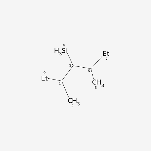 CCC(C)C([SiH3])C(C)CC